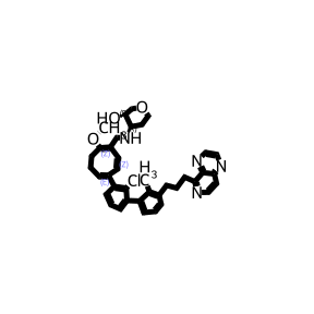 CO/C1=C(CN[C@@H]2CCOC[C@@H]2O)/C=C\C(c2cccc(-c3cccc(CCCc4nccc5nccnc45)c3C)c2Cl)=C/CC1